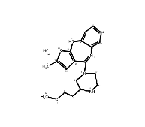 COCCC1CN(C2=Nc3ccccc3Nc3sc(C)cc32)CCN1.Cl